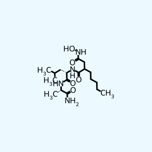 CCCCCC(CC(=O)NO)C(=O)N[C@@H](CC(C)C)C(=O)N[C@@H](C)C(N)=O